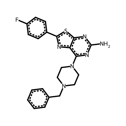 Nc1nc(N2CCN(Cc3ccccc3)CC2)c2nc(-c3ccc(F)cc3)sc2n1